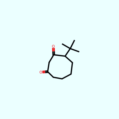 CC(C)(C)C1CCCCC(=O)CC1=O